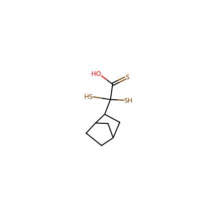 OC(=S)C(S)(S)C1CC2CCC1C2